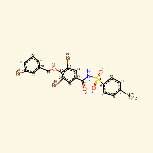 O=C(NS(=O)(=O)c1ccc([N+](=O)[O-])cc1)c1cc(Br)c(OCc2cccc(Br)c2)c(Br)c1